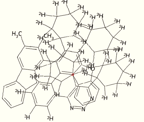 [2H]c1c([2H])c([2H])c(-c2c(-c3c(C)c(C)cc4c3Cc3ccccc3-4)c(C3([2H])C([2H])C([2H])([2H])C([2H])([2H])C([2H])([2H])C3([2H])[2H])c(C3([2H])C([2H])C([2H])([2H])C([2H])([2H])C([2H])([2H])C3([2H])[2H])c3oc4ccccc4c23)c(-c2nnnc(C3([2H])C([2H])C([2H])([2H])C([2H])([2H])C([2H])([2H])C3([2H])[2H])c2C2([2H])C([2H])C([2H])([2H])C([2H])([2H])C([2H])([2H])C2([2H])[2H])c1[2H]